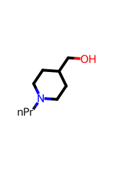 CCCN1CCC(CO)CC1